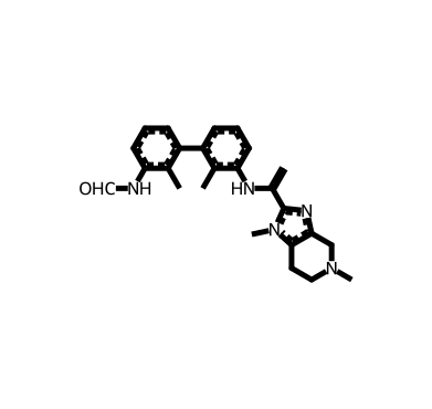 C=C(Nc1cccc(-c2cccc(NC=O)c2C)c1C)c1nc2c(n1C)CCN(C)C2